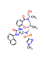 C[C@@H]1CN([C@@H](C)CO)C(=O)c2cccc(NC(=O)Nc3cccc4ccccc34)c2O[C@H]1CN(C)S(=O)(=O)c1cn(C)cn1